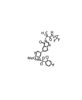 COc1ncc(-c2ccc3ncn(C[C@@H](C)C(=O)N[C@@H]4CC4(F)F)c(=O)c3c2)cc1NS(=O)(=O)c1ccc(F)cc1Cl